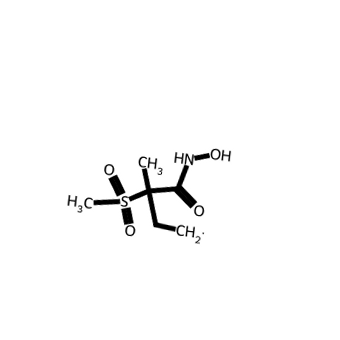 [CH2]CC(C)(C(=O)NO)S(C)(=O)=O